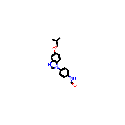 CC(C)COc1ccc2c(c1)ncn2-c1ccc(NC=O)cc1